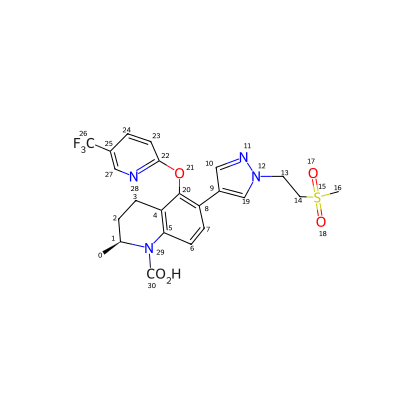 C[C@H]1CCc2c(ccc(-c3cnn(CCS(C)(=O)=O)c3)c2Oc2ccc(C(F)(F)F)cn2)N1C(=O)O